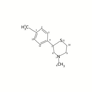 Cc1ccc(C2CN(C)CCS2)cc1